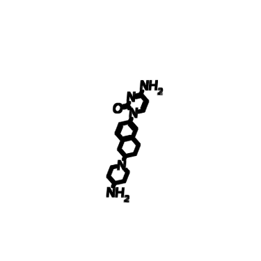 Nc1ccn(-c2ccc3c(c2)CCC(N2CCC(N)CC2)C3)c(=O)n1